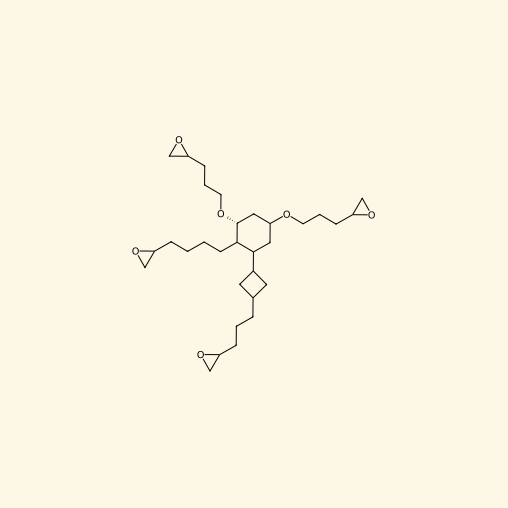 C(CCC1C(C2CC(CCCC3CO3)C2)CC(OCCCC2CO2)C[C@H]1OCCCC1CO1)CC1CO1